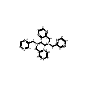 c1cnc(CN(CCN(Cc2cnccn2)Cc2cnccn2)Cc2cnccn2)cn1